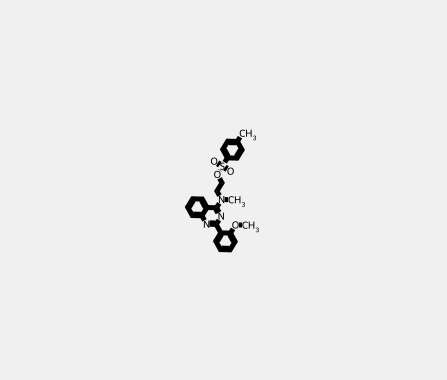 COc1ccccc1-c1nc(N(C)CCOS(=O)(=O)c2ccc(C)cc2)c2ccccc2n1